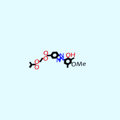 C=C(C)C(=O)OCCOC(=O)c1ccc2nn(-c3cc(C)c(OC)c(C)c3O)nc2c1